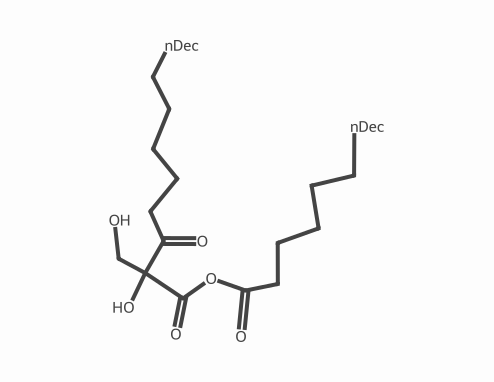 CCCCCCCCCCCCCCCC(=O)OC(=O)C(O)(CO)C(=O)CCCCCCCCCCCCCCC